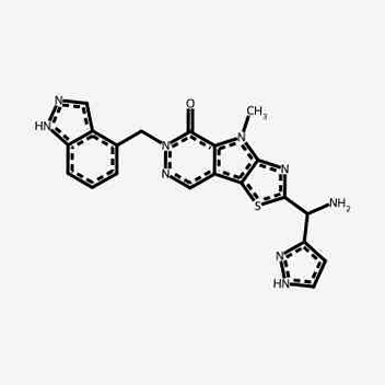 Cn1c2nc(C(N)c3cc[nH]n3)sc2c2cnn(Cc3cccc4[nH]ncc34)c(=O)c21